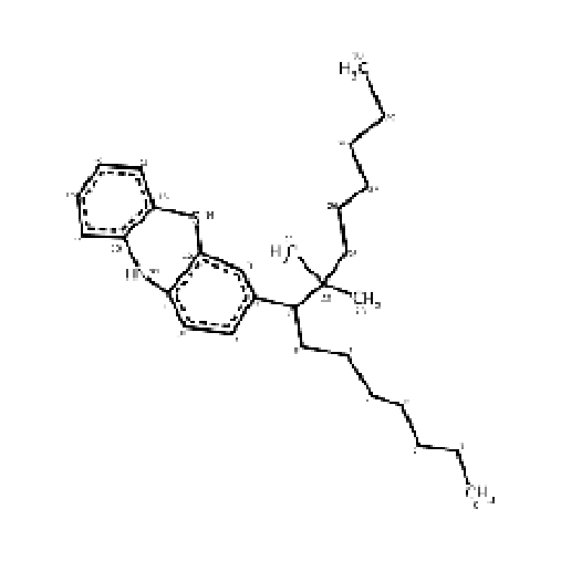 CCCCCCCC(c1ccc2c(c1)Sc1ccccc1N2)C(C)(C)CCCCCC